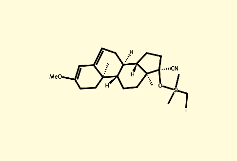 COC1=CC2=CC[C@@H]3[C@H](CC[C@@]4(C)[C@H]3CC[C@@]4(C#N)O[Si](C)(C)CI)[C@@]2(C)CC1